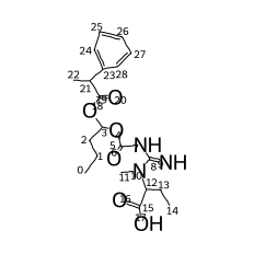 CCCC(OC(=O)NC(=N)N(C)C(CC)C(=O)O)OC(=O)C(C)c1ccccc1